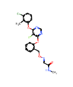 CNC(=O)C=NOCc1ccccc1Oc1ncnc(Oc2cccc(Cl)c2C)c1F